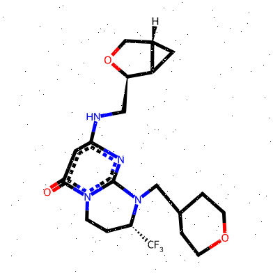 O=c1cc(NC[C@H]2OC[C@@H]3CC32)nc2n1CC[C@@H](C(F)(F)F)N2CC1CCOCC1